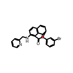 O=C1c2c3ccc(NCc4ccccn4)c2C(=O)N(c2cccc(Br)c2)C1C=C3